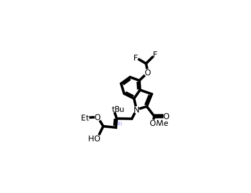 CCOC(O)/C=C(/Cn1c(C(=O)OC)cc2c(OC(F)F)cccc21)C(C)(C)C